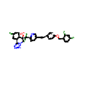 OC1(C(F)(F)c2ccc(C#Cc3ccc(OCc4ccc(F)cc4F)cc3)cn2)Cn2nnnc2-c2cc(F)ccc21